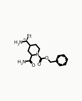 CC[C@H](N)C1CCN(C(=O)OCc2ccccc2)C(C(N)=O)C1